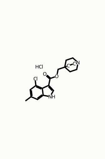 Cc1cc(Cl)c2c(C(=O)OCC34CCN(CC3)CC4)c[nH]c2c1.Cl